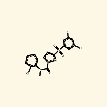 CN(C(=O)n1ccc(S(=O)(=O)c2cc(Cl)cc(Cl)c2)n1)c1ccccc1Cl